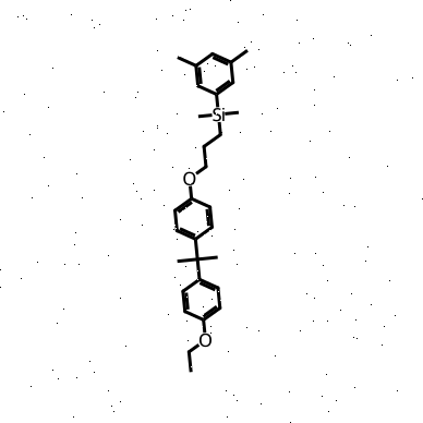 CCOc1ccc(C(C)(C)c2ccc(OCCC[Si](C)(C)c3cc(C)cc(C)c3)cc2)cc1